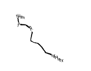 CCCCCCCCC[P][P]CCCCCC